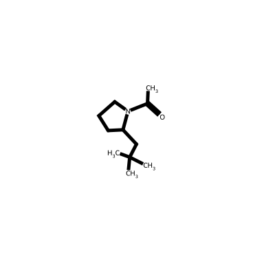 CC(=O)N1CCCC1CC(C)(C)C